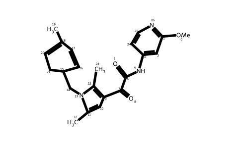 COc1cc(NC(=O)C(=O)c2cc(C)n(CC3C=CC(C)=CC3)c2C)ccn1